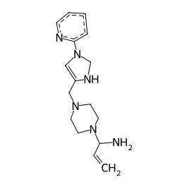 C=CC(N)N1CCN(CC2=CN(c3ccccn3)CN2)CC1